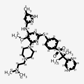 COc1c(Nc2cc(C)[nH]n2)nc(Sc2ccc(S(=O)(=O)C(C)(C)c3cnccn3)cc2)nc1N1CCN(CCN(C)C)CC1